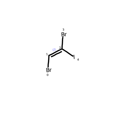 Br/C=C(/Br)I